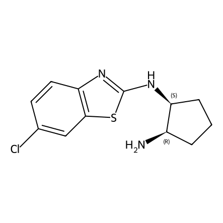 N[C@@H]1CCC[C@@H]1Nc1nc2ccc(Cl)cc2s1